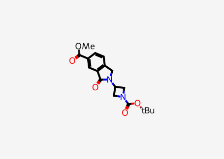 COC(=O)c1ccc2c(c1)C(=O)N(C1CN(C(=O)OC(C)(C)C)C1)C2